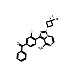 C[C@]1(O)C[C@H](c2nc(-c3ccc(C(=O)c4ccccc4)cc3Cl)c3c(N)nccn32)C1